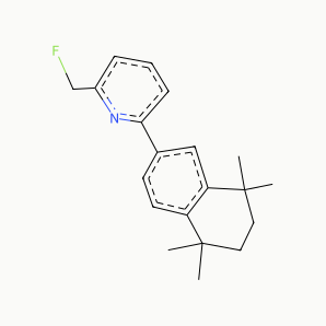 CC1(C)CCC(C)(C)c2cc(-c3cccc(CF)n3)ccc21